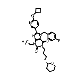 CCn1c(=O)n(CCCOC2CCCCO2)c(=O)c2c1nc(-c1ccc(OC3CCC3)nc1)n2Cc1ccc(F)cc1